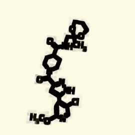 COc1cc(-c2cc(C(=O)N3CCC(C(=O)NCC4(C)OCCCO4)CC3)n[nH]2)c(Cl)cn1